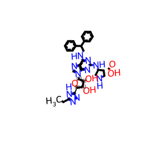 CCc1nnc([C@H]2O[C@@H](n3cnc4c(NCC(c5ccccc5)c5ccccc5)nc(NC5CCNC5)nc43)[C@H](O)[C@@H]2O)[nH]1.O=CO